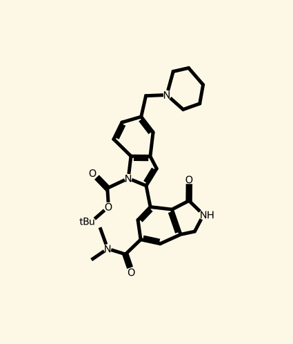 CN(C)C(=O)c1cc2c(c(-c3cc4cc(CN5CCCCC5)ccc4n3C(=O)OC(C)(C)C)c1)C(=O)NC2